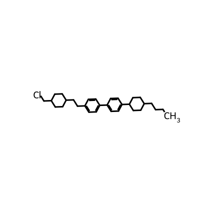 CCCCC1CCC(c2ccc(-c3ccc(CCC4CCC(CCl)CC4)cc3)cc2)CC1